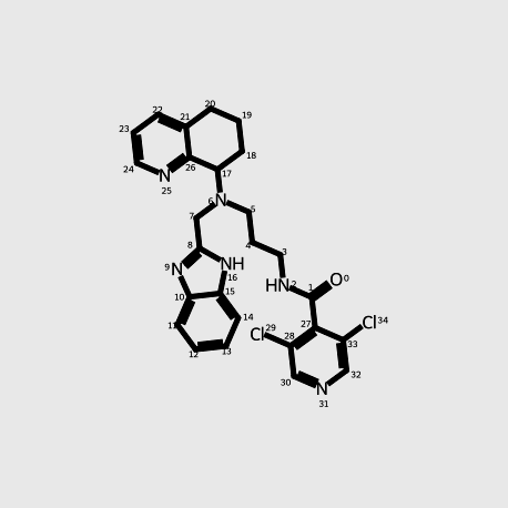 O=C(NCCCN(Cc1nc2ccccc2[nH]1)C1CCCc2cccnc21)c1c(Cl)cncc1Cl